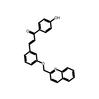 O=C(C=Cc1cccc(OCc2ccc3ccccc3n2)c1)c1ccc(O)cc1